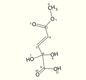 COC(=O)/C=C/C(O)(O)C(=O)O